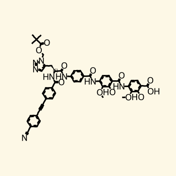 COc1c(NC(=O)c2ccc(NC(=O)c3ccc(NC(=O)[C@H](Cc4cnnn4COC(=O)C(C)(C)C)NC(=O)c4ccc(C#Cc5ccc(C#N)cc5)cc4)cc3)c(OC)c2O)ccc(C(=O)O)c1O